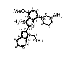 COc1c[c]c(N2CCC[C@@H](N)C2)c2nc(-c3cc4cccnc4n3CC(C)(C)C)n(C)c12